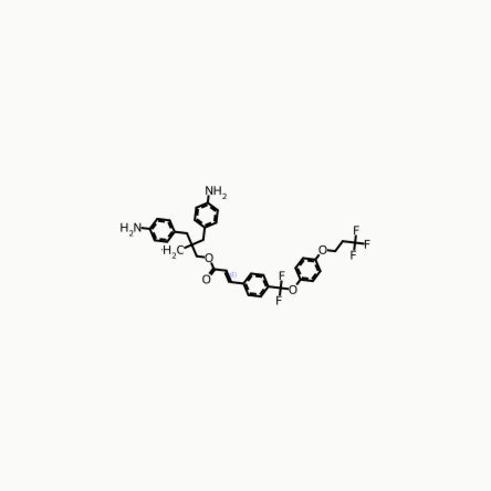 [CH2]C(COC(=O)/C=C/c1ccc(C(F)(F)Oc2ccc(OCCC(F)(F)F)cc2)cc1)(Cc1ccc(N)cc1)Cc1ccc(N)cc1